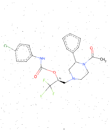 CC(=O)N1CCN(C[C@H](OC(=O)Nc2ccc(Cl)cc2)C(F)(F)F)CC1c1ccccc1